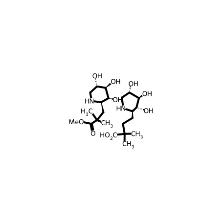 CC(C)(CC[C@H]1NC[C@H](O)[C@@H](O)[C@@H]1O)C(=O)O.COC(=O)C(C)(C)C[C@H]1NC[C@H](O)[C@@H](O)[C@@H]1O